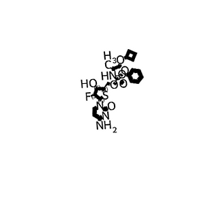 CC(NP(=O)(OC[C@H]1S[C@@H](n2ccc(N)nc2=O)[C@@H](F)[C@@H]1O)Oc1ccccc1)C(=O)OC1CCC1